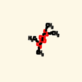 CCCCOC(COC(=O)C(=O)OCC(OCCCC)OCCCC)OCCCC